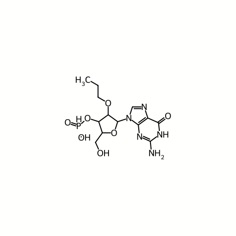 CCCOC1C(O[PH](=O)O)C(CO)OC1n1cnc2c(=O)[nH]c(N)nc21